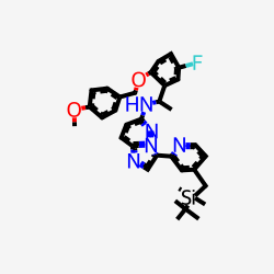 COc1ccc(COc2ccc(F)cc2C(C)Nc2ccc3ncc(-c4cc(C[Si](C)(C)C(C)(C)C)ccn4)n3n2)cc1